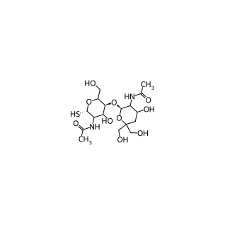 CC(=O)NC1C(O)CC(CO)(CO)O[C@H]1O[C@@H]1C(CO)O[C@@H](S)C(NC(C)=O)C1O